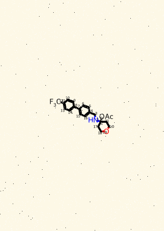 CC(=O)OC1(NCc2ccc(-c3ccc(C(F)(F)F)cc3)cc2)CCOCC1